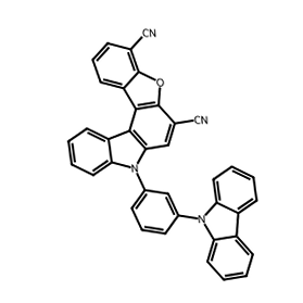 N#Cc1cccc2c1oc1c(C#N)cc3c(c4ccccc4n3-c3cccc(-n4c5ccccc5c5ccccc54)c3)c12